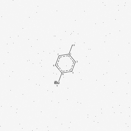 [CH2]c1ccc(C(C)CC)cc1